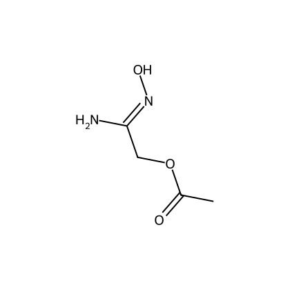 CC(=O)OCC(N)=NO